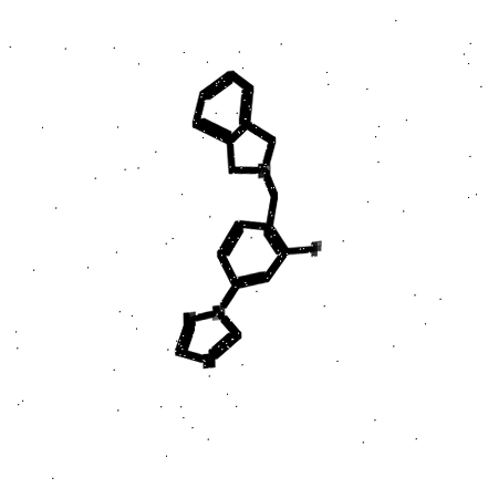 Fc1cc(-n2cncn2)ccc1CN1Cc2ccccc2C1